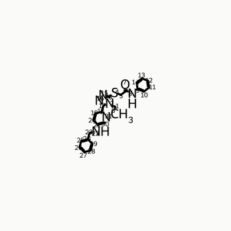 CCn1c(SCC(=O)Nc2ccccc2)nnc1-c1ccc(NCc2ccccc2)cn1